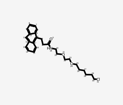 O=C(CCc1c2ccccc2cc2ccccc12)NCCOCCOCCCCCCCl